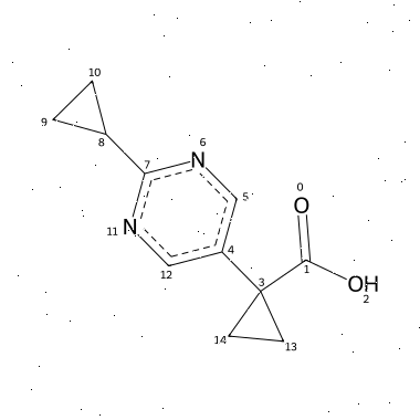 O=C(O)C1(c2cnc(C3CC3)nc2)CC1